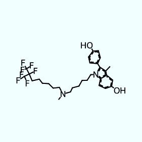 Cc1c(-c2ccc(O)cc2)n(CCCCCCN(C)CCCCCCC(F)(C(F)(F)F)C(F)(F)F)c2ccc(O)cc12